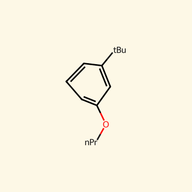 [CH2]CCOc1cccc(C(C)(C)C)c1